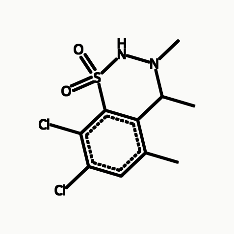 Cc1cc(Cl)c(Cl)c2c1C(C)N(C)NS2(=O)=O